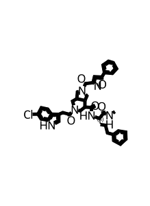 CNC(=O)[C@H](CCCc1ccccc1)NC(=O)C1CN(C(=O)Cc2c[nH]c3cc(Cl)ccc23)CC2CN(C(=O)c3cc(-c4ccccc4)on3)CC21